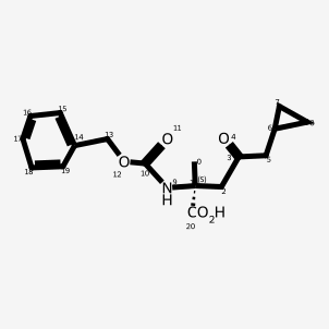 C[C@@](CC(=O)CC1CC1)(NC(=O)OCc1ccccc1)C(=O)O